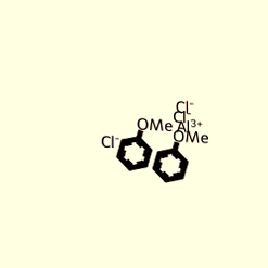 COc1ccccc1.COc1ccccc1.[Al+3].[Cl-].[Cl-].[Cl-]